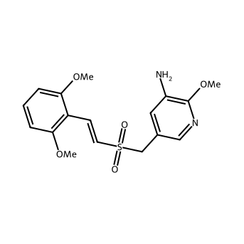 COc1cccc(OC)c1C=CS(=O)(=O)Cc1cnc(OC)c(N)c1